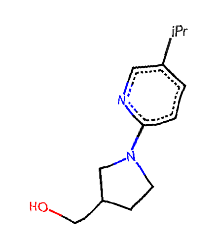 CC(C)c1ccc(N2CCC(CO)C2)nc1